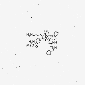 COC(=O)C1(N)CCN(C(=O)[C@@H](CCCCN)NC(=O)[C@@H](CC(C)C)NC(=O)[C@@H](Cc2ccccc2)NC(=O)[C@H]2Cc3ccccc3CN2)CC1